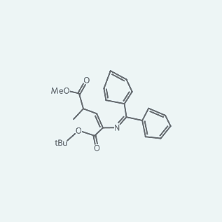 COC(=O)C(C)C=C(N=C(c1ccccc1)c1ccccc1)C(=O)OC(C)(C)C